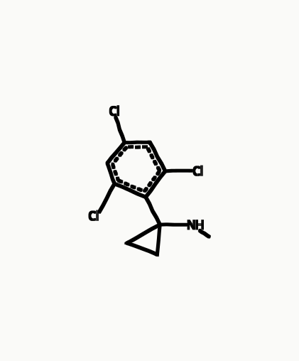 CNC1(c2c(Cl)cc(Cl)cc2Cl)CC1